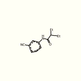 CCC(CC)C(=O)Nc1cccc(C#N)c1